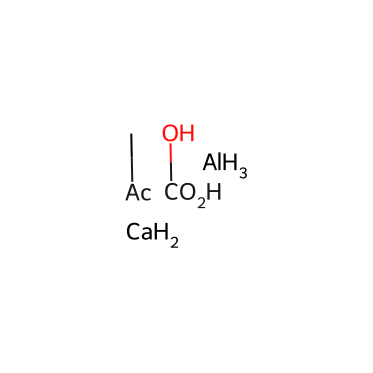 CC(C)=O.O=C(O)O.[AlH3].[CaH2]